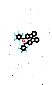 O=C(c1ccc2c(c1)C1(c3ccccc3-2)c2ccccc2-c2ccc(C(=O)c3c(F)c(F)c(F)c(F)c3F)cc21)c1c(F)c(F)c(F)c(F)c1F